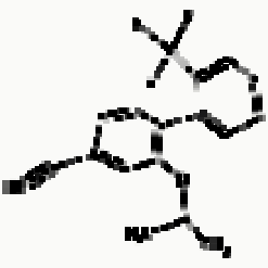 C#Cc1ccc(-c2ccccc2C(F)(F)F)c(OC(C)C)c1